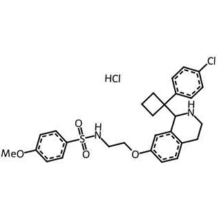 COc1ccc(S(=O)(=O)NCCOc2ccc3c(c2)C(C2(c4ccc(Cl)cc4)CCC2)NCC3)cc1.Cl